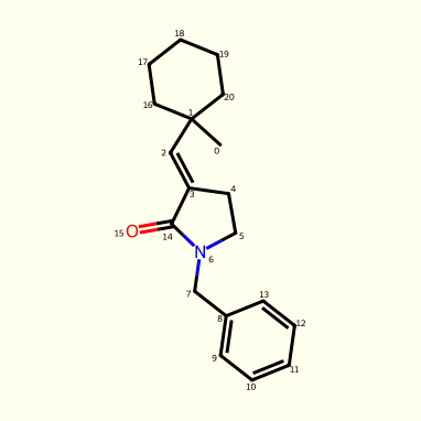 CC1(/C=C2\CCN(Cc3ccccc3)C2=O)CCCCC1